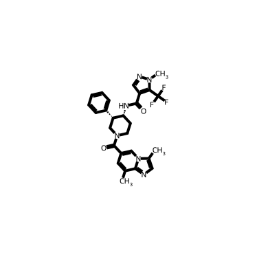 Cc1cc(C(=O)N2CC[C@@H](NC(=O)c3cnn(C)c3C(F)(F)F)[C@@H](c3ccccc3)C2)cn2c(C)cnc12